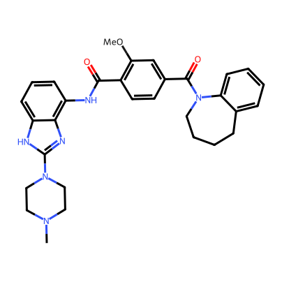 COc1cc(C(=O)N2CCCCc3ccccc32)ccc1C(=O)Nc1cccc2[nH]c(N3CCN(C)CC3)nc12